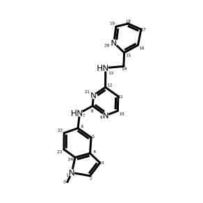 Cn1ccc2cc(Nc3nccc(NCc4ccccn4)n3)ccc21